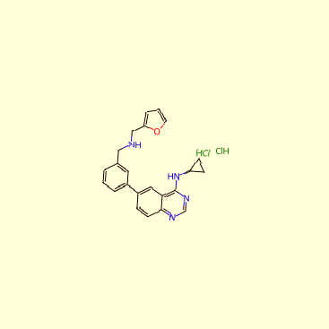 Cl.Cl.c1cc(CNCc2ccco2)cc(-c2ccc3ncnc(NC4CC4)c3c2)c1